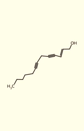 CCCCCC#CCC#CC=CCO